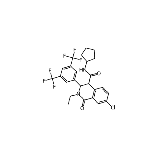 CCN1C(=O)c2cc(Cl)ccc2C(C(=O)NC2CCCC2)C1c1cc(C(F)(F)F)cc(C(F)(F)F)c1